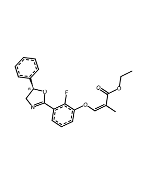 CCOC(=O)C(C)=COc1cccc(C2=NC[C@@H](c3ccccc3)O2)c1F